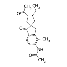 CCCCC1(CCC(C)=O)Cc2c(ccc(NC(C)=O)c2C)C1=O